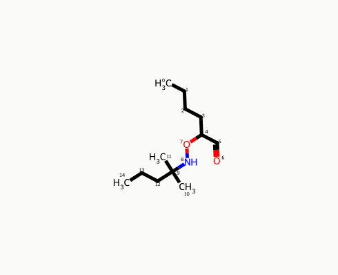 CCCCC(C=O)ONC(C)(C)CCC